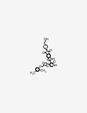 Cc1ccc(OCC(O)CNc2cc[nH]c(=O)c2-c2nc3cc4c(cc3[nH]2)C(=O)N(N2CCN(CCO)CC2)C4=O)c(C)c1